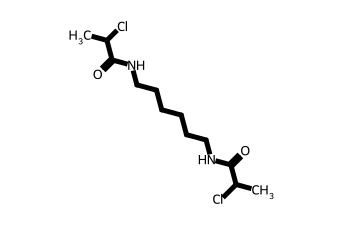 CC(Cl)C(=O)NCCCCCCNC(=O)C(C)Cl